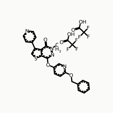 Cn1nc(Oc2ccc(OCc3ccccc3)nc2)c2scc(-c3ccncc3)c2c1=O.O=C(O)C(F)(F)F.O=C(O)C(F)(F)F